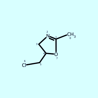 CC1=NCC(CCl)O1